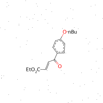 CCCCOc1ccc(C(=O)C=CC(=O)OCC)cc1